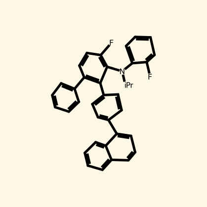 CC(C)N(c1ccccc1F)c1c(F)ccc(-c2ccccc2)c1-c1ccc(-c2cccc3ccccc23)cc1